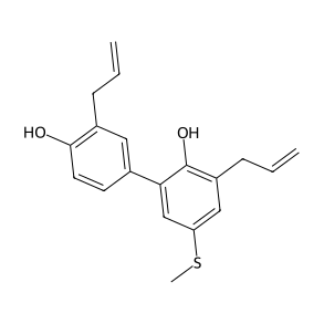 C=CCc1cc(-c2cc(SC)cc(CC=C)c2O)ccc1O